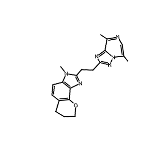 Cc1ncc(C)n2nc(CCc3nc4c5c(ccc4n3C)CCCO5)nc12